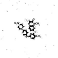 C=C1Oc2ccc(Nc3nc(Nc4ccc(N5CCN(C)CC5)nc4)ncc3C)nc2N(C)C1=O